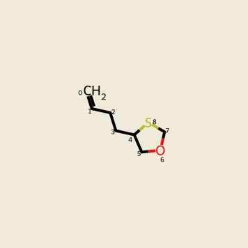 C=CCCC1COCS1